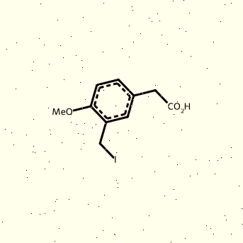 COc1ccc(CC(=O)O)cc1CI